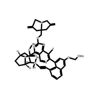 C=C1CN2CC(=C)CC2(COc2nc(N3C[C@H]4CC[C@@H](C3)N4C(=O)OC(C)(C)C)c3cnc(-c4cc(OCOC)cc5cccc(C#C[Si](C(C)C)(C(C)C)C(C)C)c45)c(F)c3n2)C1